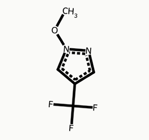 COn1cc(C(F)(F)F)cn1